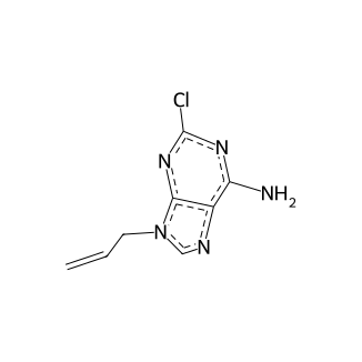 C=CCn1cnc2c(N)nc(Cl)nc21